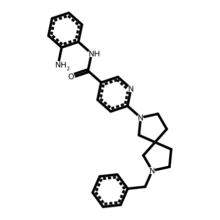 Nc1ccccc1NC(=O)c1ccc(N2CCC3(CCN(Cc4ccccc4)C3)C2)nc1